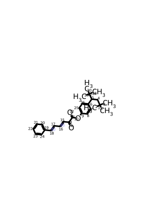 CC(C)(C)CC(c1ccc(OC(=O)C(=O)/C=C/C=C/c2ccccc2)cc1)C(C)(C)C